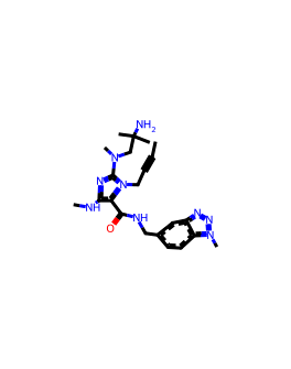 CC#CCn1c(N(C)CC(C)(C)N)nc(NC)c1C(=O)NCc1ccc2c(c1)nnn2C